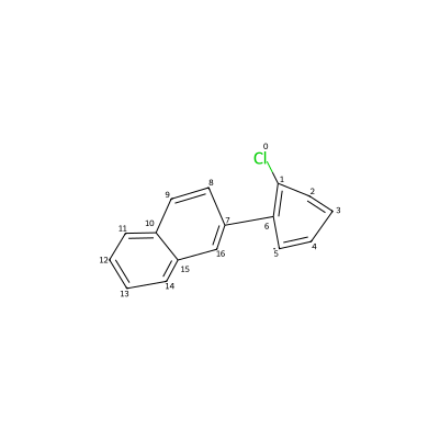 Clc1ccc[c]c1-c1ccc2ccccc2c1